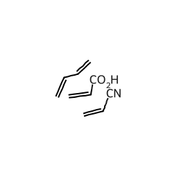 C=CC#N.C=CC(=O)O.C=CC=C